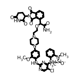 COc1cc(N2CCN(CCOC(C(N)=O)c3cccc4c3C(=O)N(C3CCC(=O)NC3=O)C4=O)CC2)ccc1Nc1ncc(Cl)c(Nc2ccccc2N(C)[S+](C)[O-])n1